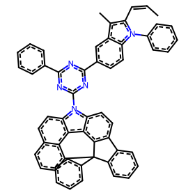 C/C=C\c1c(C)c2cc(-c3nc(-c4ccccc4)nc(-n4c5ccc6c7c5c5c8c(cccc8ccc54)C7(c4ccccc4)c4ccccc4-6)n3)ccc2n1-c1ccccc1